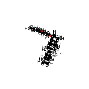 CC(C)[C@H](N)C(=O)O.N=C(N)NCCC[C@H](N)C(=O)O.NCC(=O)O.NCC(=O)O.N[C@@H](CC(=O)O)C(=O)O.N[C@@H](CC(=O)O)C(=O)O.N[C@@H](CC(=O)O)C(=O)O.N[C@@H](CC(=O)O)C(=O)O.N[C@@H](CCC(=O)O)C(=O)O.N[C@@H](Cc1c[nH]c2ccccc12)C(=O)O.N[C@@H](Cc1ccccc1)C(=O)O.N[C@@H](Cc1ccccc1)C(=O)O